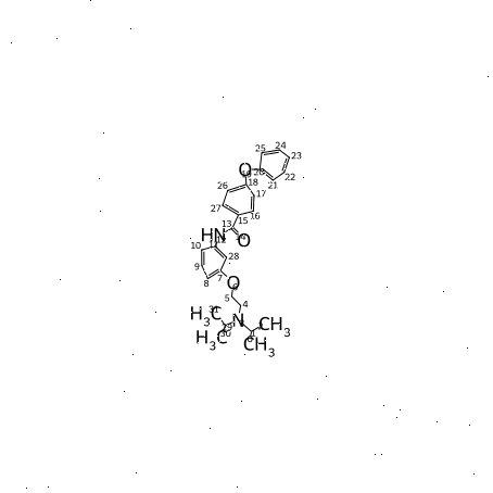 CC(C)N(CCOc1cccc(NC(=O)c2ccc(Oc3ccccc3)cc2)c1)C(C)C